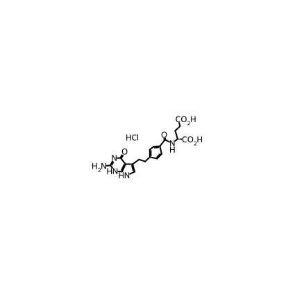 Cl.Nc1nc(=O)c2c(CCc3ccc(C(=O)N[C@@H](CCC(=O)O)C(=O)O)cc3)c[nH]c2[nH]1